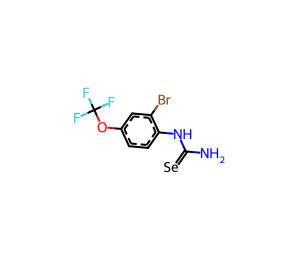 NC(=[Se])Nc1ccc(OC(F)(F)F)cc1Br